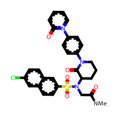 CNC(=O)CN(C1CCCN(c2ccc(-n3ccccc3=O)cc2)C1=O)S(=O)(=O)c1ccc2cc(Cl)ccc2c1